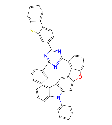 c1ccc(-c2nc(-c3ccc4c(c3)sc3ccccc34)nc(-c3cccc4oc5cc6c(cc5c34)c3ccccc3n6-c3ccccc3)n2)cc1